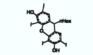 CCCCCCC1c2cc(I)c(O)c(I)c2Oc2c1cc(I)c(O)c2I